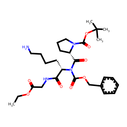 CCOC(=O)CNC(=O)[C@H](CCCCN)N(C(=O)OCc1ccccc1)C(=O)[C@@H]1CCCN1C(=O)OC(C)(C)C